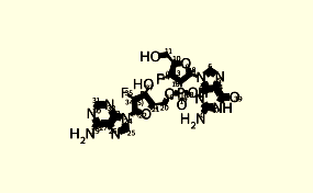 Nc1nc2c(ncn2[C@@H]2O[C@H](CO)[C@@H](F)[C@H]2P(=O)(O)OC[C@H]2O[C@@H](n3cnc4c(N)ncnc43)[C@@H](F)[C@@H]2O)c(=O)[nH]1